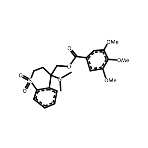 COc1cc(C(=O)OCC2(N(C)C)CCS(=O)(=O)c3ccccc32)cc(OC)c1OC